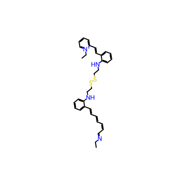 CC/N=C/C=C\C=C\C=C\c1ccccc1NCCSSCCNc1ccccc1/C=C/c1cccc[n+]1CC